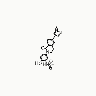 Cn1cc(-c2ccc3c(c2)CCN(c2ccc(O)c(NS(C)(=O)=O)c2)C3=O)cn1